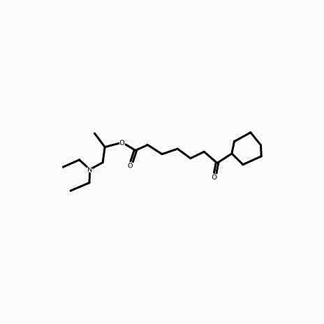 CCN(CC)CC(C)OC(=O)CCCCCC(=O)C1CCCCC1